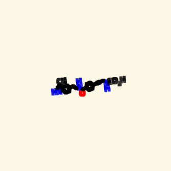 N#Cc1c[nH]c2ccc(CCNC(=O)c3ccc(C#CCNC(=O)O)cc3)cc12